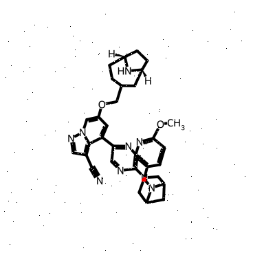 COc1ccc(CN2C3CC2CN(c2cnc(-c4cc(OCC5CC[C@@H]6CC[C@H](C5)N6)cn5ncc(C#N)c45)cn2)C3)cn1